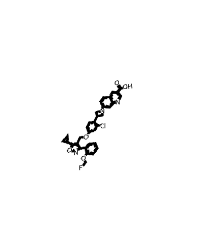 O=C(O)c1cnc2cc(N3CC(c4ccc(OCc5c(-c6ccccc6OCF)noc5C5CC5)cc4Cl)C3)ccc2c1